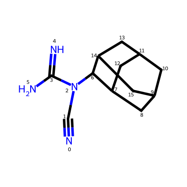 N#CN(C(=N)N)C1C2CC3CC(C2)CC1C3